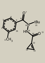 Cc1cccc(C(=O)N(NC(=O)C2=CC2)C(C)(C)C)c1